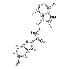 Cc1[nH]c2c(F)ccc(C)c2c1CCNC(=O)c1cc2ccc(Br)cc2s1